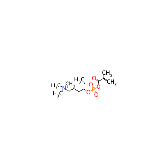 C=C(C)C(=O)OP(=O)(OCC)OCCCC[N+](C)(C)C